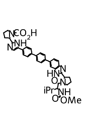 COC(=O)NC(C(=O)N1CCCC1c1nc2ccc(-c3ccc(-c4ccc(-c5cnc(C6CCCN6C(=O)O)[nH]5)cc4)cc3)cc2[nH]1)C(C)C